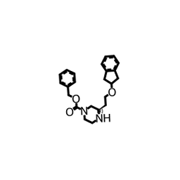 O=C(OCc1ccccc1)N1CCN[C@H](CCOC2Cc3ccccc3C2)C1